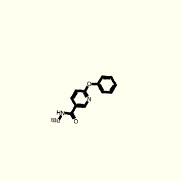 CC(C)(C)NC(=O)c1ccc(Oc2ccccc2)nc1